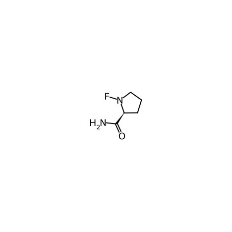 NC(=O)[C@@H]1CCCN1F